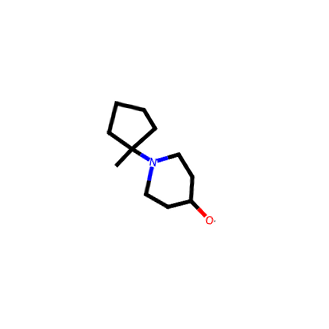 CC1(N2CCC([O])CC2)CCCC1